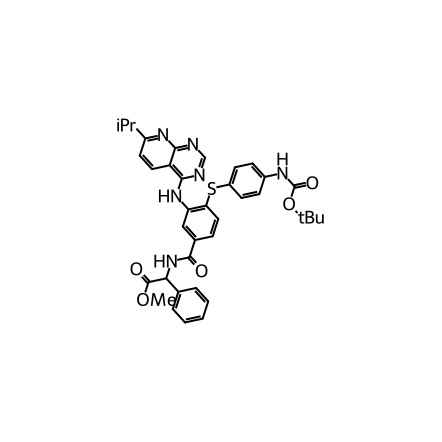 COC(=O)C(NC(=O)c1ccc(Sc2ccc(NC(=O)OC(C)(C)C)cc2)c(Nc2ncnc3nc(C(C)C)ccc23)c1)c1ccccc1